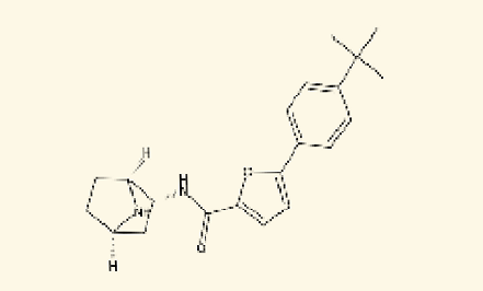 CC(C)(C)c1ccc(-c2ccc(C(=O)N[C@@H]3C[C@H]4CC[C@@H]3N4)o2)cc1